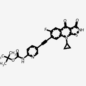 CC(C)(C)OC(=O)Nc1ccc(C#Cc2cc3c(cc2F)c(=O)c2c(=O)[nH]sc2n3C2CC2)cn1